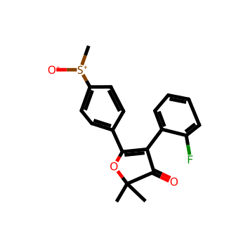 C[S+]([O-])c1ccc(C2=C(c3ccccc3F)C(=O)C(C)(C)O2)cc1